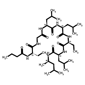 CCCC(=O)N[C@@H](CC)C(=O)NCC(=O)N[C@@H](CC(C)C)C(=O)N[C@@H](CC(C)C)C(=O)N[C@@H](CC)C(=O)N[C@@H](CC(C)C)C(=O)N[C@H](C)CC(C)C